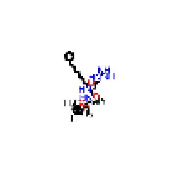 CC(C)C[C@H](NC(=O)[C@H](CCCNC(=N)N)NC(=O)CCCCCCCc1ccccc1)B1O[C@@H]2C[C@@H]3C[C@@H](C3(C)C)[C@]2(C)O1